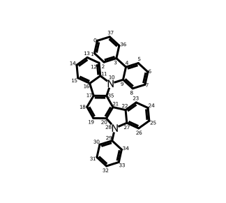 c1ccc(-c2ccccc2-n2c3ccccc3c3ccc4c(c5ccccc5n4-c4ccccc4)c32)cc1